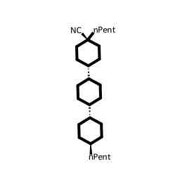 CCCCC[C@H]1CC[C@H](C2CCC([C@H]3CC[C@@](C#N)(CCCCC)CC3)CC2)CC1